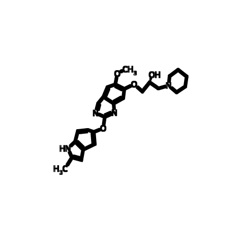 COc1cc2cnc(Oc3ccc4[nH]c(C)cc4c3)nc2cc1OC[C@H](O)CN1CCCCC1